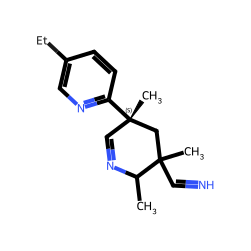 CCc1ccc([C@@]2(C)C=NC(C)C(C)(C=N)C2)nc1